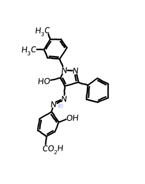 Cc1ccc(-n2nc(-c3ccccc3)c(/N=N/c3ccc(C(=O)O)cc3O)c2O)cc1C